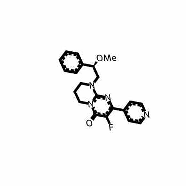 CO[C@@H](CN1CCCn2c1nc(-c1ccncc1)c(F)c2=O)c1ccccc1